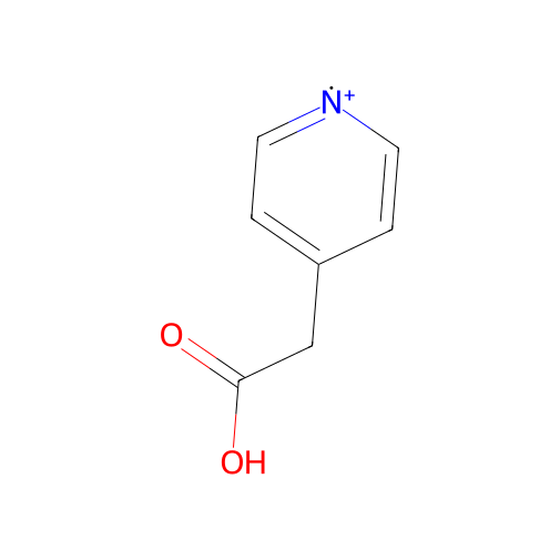 O=C(O)CC1=CC=[N+]C=C1